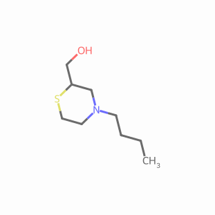 CCCCN1CCSC(CO)C1